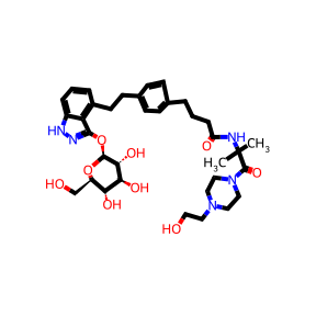 CC(C)(NC(=O)CCCc1ccc(CCc2cccc3[nH]nc(O[C@@H]4O[C@H](CO)[C@@H](O)[C@H](O)[C@H]4O)c23)cc1)C(=O)N1CCN(CCO)CC1